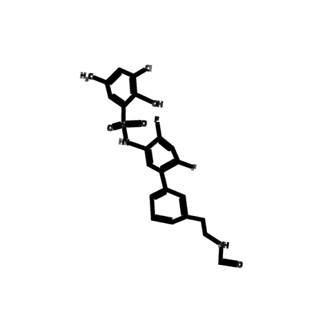 Cc1cc(Cl)c(O)c(S(=O)(=O)Nc2cc(-c3cccc(CCNC=O)c3)c(F)cc2F)c1